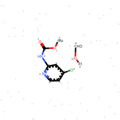 CC(C)(C)OC(=O)Nc1cc(Cl)ccn1.CCOC=O